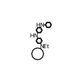 CCN(c1ccc(Nc2ccc(Nc3ccccc3)cc2)cc1)C1CCCCCCCCCCC1